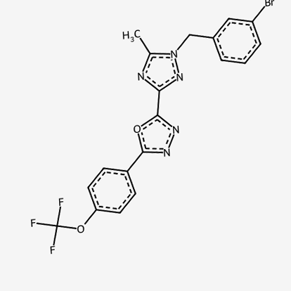 Cc1nc(-c2nnc(-c3ccc(OC(F)(F)F)cc3)o2)nn1Cc1cccc(Br)c1